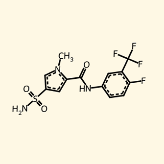 Cn1cc(S(N)(=O)=O)cc1C(=O)Nc1ccc(F)c(C(F)(F)F)c1